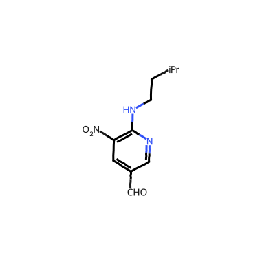 CC(C)CCNc1ncc(C=O)cc1[N+](=O)[O-]